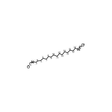 O=C=NCCCCCCCCCCCCCCCCN=C=O